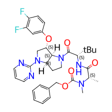 C[C@@H](C(=O)N[C@H](C(=O)N1CC[C@@H]2[C@H]1[C@@H](Oc1ccc(F)c(F)c1)CN2c1ncccn1)C(C)(C)C)N(C)C(=O)OCc1ccccc1